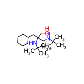 CC(C)(C)NCC(CO)(CC1CCCCC1)NC(C)(C)C